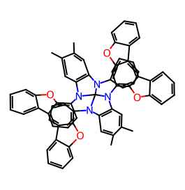 Cc1cc2c(cc1C)N(c1cccc3c1oc1ccccc13)C1(N2c2cccc3c2oc2ccccc23)N(c2cccc3c2oc2ccccc23)c2cc(C)c(C)cc2N1c1cccc2c1oc1ccccc12